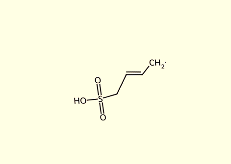 [CH2]C=CCS(=O)(=O)O